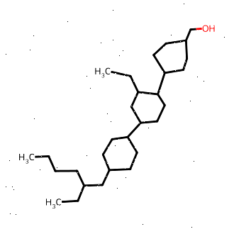 CCCCC(CC)CC1CCC(C2CCC(C3CCC(CO)CC3)C(CC)C2)CC1